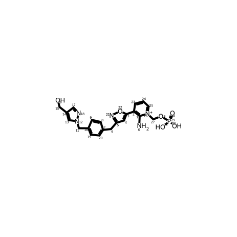 Nc1c(-c2cc(Cc3ccc(Cn4cc(CO)cn4)cc3)no2)ccc[n+]1COP(=O)(O)O